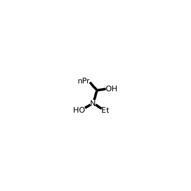 CCCC(O)N(O)CC